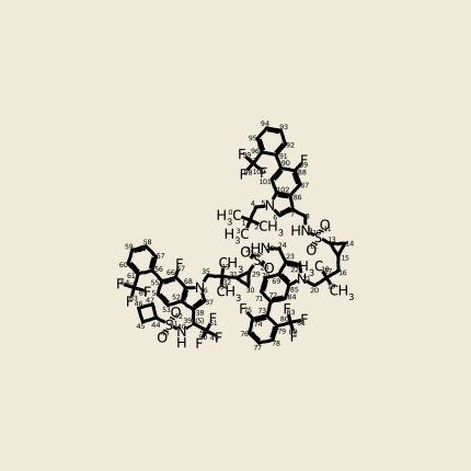 CC(C)(C)Cn1cc(CNS(=O)(=O)C2CC2CC(C)(C)Cn2cc(CNS(=O)(=O)C3CC3C(C)(C)Cn3cc([C@H](NS(=O)(=O)C4CCC4)C(F)(F)F)c4ccc(-c5ccccc5C(F)(F)F)c(F)c43)c3ccc(-c4c(F)cccc4C(F)(F)F)cc32)c2cc(F)c(-c3ccccc3C(F)(F)F)cc21